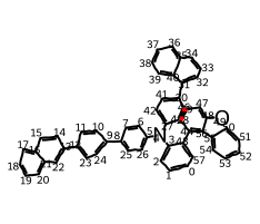 c1ccc(N(c2ccc(-c3ccc(-c4ccc5ccccc5c4)cc3)cc2)c2ccc(-c3cccc4ccccc34)cc2)c(-c2cccc3oc4ccccc4c23)c1